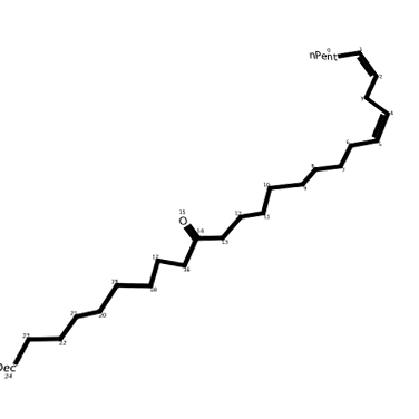 CCCCC/C=C\C/C=C\CCCCCCCCC(=O)CCCCCCCCCCCCCCCCCC